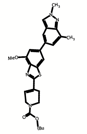 COc1cc(-c2cc(C)c3nn(C)cc3c2)cc2sc(C3=CCN(C(=O)OC(C)(C)C)CC3)nc12